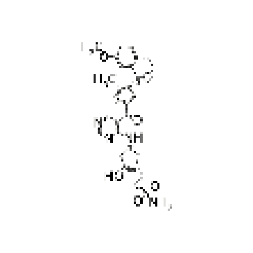 COc1ccc2c(c1)[C@@H](c1cc(C(=O)c3cncnc3N[C@@H]3C[C@H](COS(N)(=O)=O)[C@@H](O)C3)sc1C)OCC2